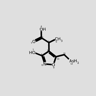 CC(C(=O)O)c1c(O)noc1C[AsH2]